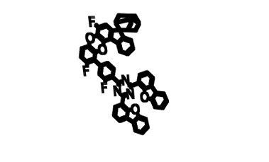 Fc1cc(-c2c(F)ccc3c2Oc2c(c(F)cc4c2-c2ccccc2C42C4CC5CC(C4)CC2C5)O3)ccc1-c1nc(-c2cccc3c2oc2ccccc23)nc(-c2cccc3c2oc2ccccc23)n1